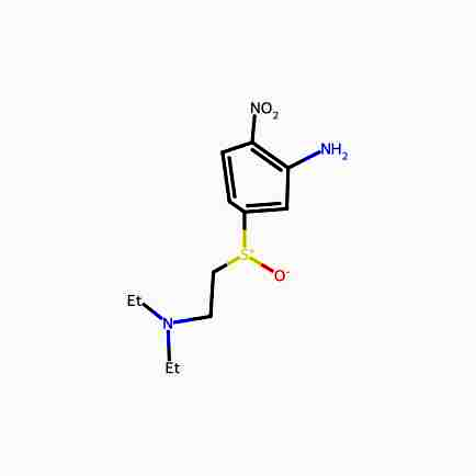 CCN(CC)CC[S+]([O-])c1ccc([N+](=O)[O-])c(N)c1